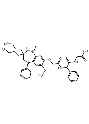 CCCCC1(CCCC)CN(C2=CC=CCC2)c2cc(SC)c(OCC(=O)NC(C(=O)NCC(=O)O)c3ccccc3)cc2[S+]([O-])N1